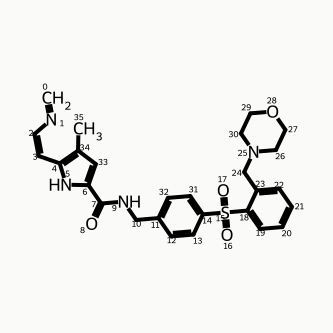 C=N/C=C\c1[nH]c(C(=O)NCc2ccc(S(=O)(=O)c3ccccc3CN3CCOCC3)cc2)cc1C